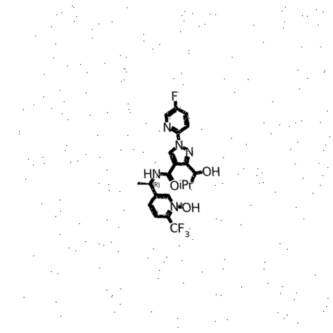 CC(C)C(O)c1nn(-c2ccc(F)cn2)cc1C(=O)N[C@H](C)c1ccc(C(F)(F)F)[n+](O)c1